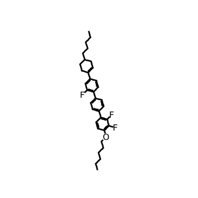 CCCCCCOc1ccc(-c2ccc(-c3ccc(C4=CCC(CCCCC)CC4)cc3F)cc2)c(F)c1F